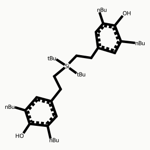 CCCCc1cc(CC[Si](CCc2cc(CCCC)c(O)c(CCCC)c2)(C(C)(C)C)C(C)(C)C)cc(CCCC)c1O